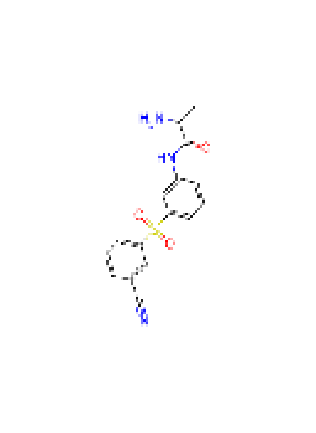 CC(N)C(=O)Nc1cccc(S(=O)(=O)c2cccc(C#N)c2)c1